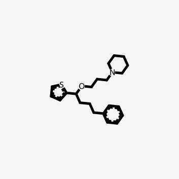 c1ccc(CCCC(OCCCN2CCCCC2)c2cccs2)cc1